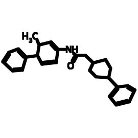 CC1C=C(NC(=O)CC2CCC(c3ccccc3)CC2)C=CC1c1ccccc1